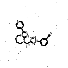 C[C@H](c1nnn(-c2cccc(C#N)c2)n1)N1CCCCn2c(-c3ccncc3)nnc21